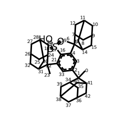 CC1(c2cc(C3(C)C4CC5CC(C4)CC3C5)c(S(=O)(=O)O)c(C3(C)C4CC5CC(C4)CC3C5)c2)C2CC3CC(C2)CC1C3